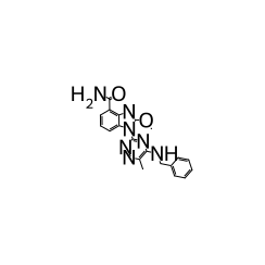 COc1nc2c(C(N)=O)cccc2n1-c1nnc(C)c(NCc2ccccc2)n1